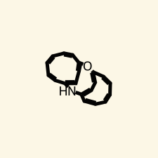 c1cccc2ccc(cc1)Nc1ccccccc(cc1)O2